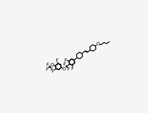 CCCCOC1CCC(/C=C/C2CCC(c3cc(F)c(C(F)(F)Oc4cc(F)c(OC(F)(F)F)c(F)c4)c(F)c3)CC2)CC1